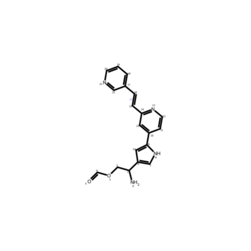 NC(COC=O)c1c[nH]c(-c2ccnc(/C=C/c3cccnc3)c2)c1